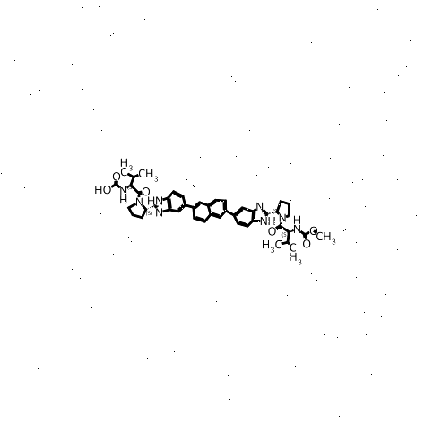 COC(=O)N[C@H](C(=O)N1CCC[C@H]1c1nc2cc(-c3ccc4cc(-c5ccc6[nH]c([C@@H]7CCCN7C(=O)[C@@H](NC(=O)O)C(C)C)nc6c5)ccc4c3)ccc2[nH]1)C(C)C